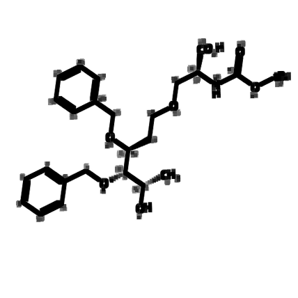 C[C@H](O)[C@H](OCc1ccccc1)[C@H](CCOC[C@H](NC(=O)OC(C)(C)C)C(=O)O)OCc1ccccc1